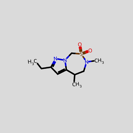 CCc1cc2n(n1)CS(=O)(=O)N(C)CC2C